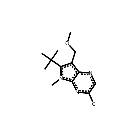 COCc1c(C(C)(C)C)n(C)c2nc(Cl)cnc12